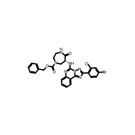 O=C1NCCN(C(=O)OCc2ccccc2)C[C@H]1Nc1nc2ccccc2c2nc(-c3ccc(Br)cc3Cl)nn12